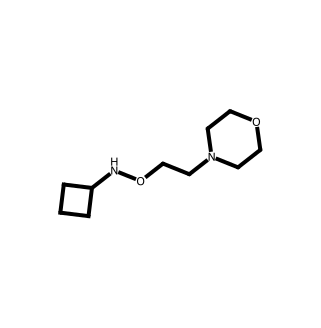 C1CC(NOCCN2CCOCC2)C1